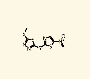 C=[N+]([O-])c1cnc(Sc2nnc(SC)s2)s1